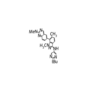 CNc1ncc2cc(-c3c(C)ccc4c(Nc5cnc(C(C)(C)C)nc5)nn(C)c34)ccc2n1